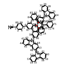 N#Cc1ccc(-c2ccc(-n3c4ccccc4c4cc(-n5c6ccccc6c6ccccc65)ccc43)c(-c3cc(-n4c5ccccc5c5cc(-n6c7ccccc7c7ccccc76)ccc54)ccc3-c3nc(-c4ccccc4)nc(-c4ccccc4)n3)c2)cc1